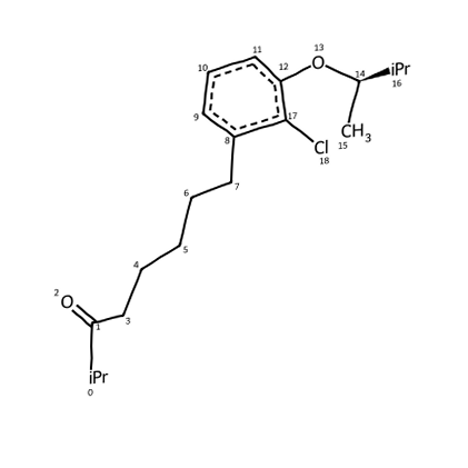 CC(C)C(=O)CCCCCc1cccc(O[C@H](C)C(C)C)c1Cl